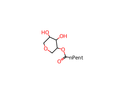 CCCCCC(=O)OC1COCC(O)C1O